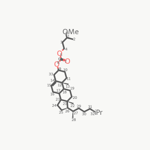 COC(C)CCOC(=O)OC1CC[C@@]2(C)C(=CCC3C2CC[C@@]2(C)C3CC[C@@H]2[C@H](C)CCCC(C)C)C1